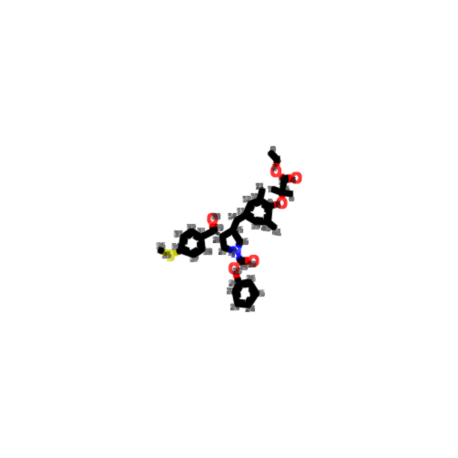 CCOC(=O)C(C)(C)Oc1c(C)cc(CC2CN(C(=O)Oc3ccccc3)C[C@@H]2C(=O)c2ccc(SC)cc2)cc1C